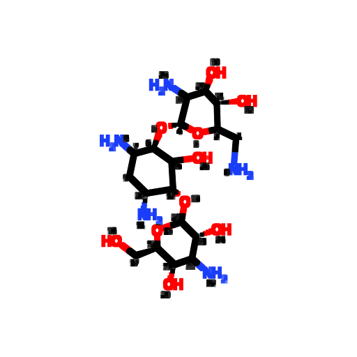 NCC1O[C@H](O[C@@H]2C(N)C[C@@H](N)[C@@H](OC3O[C@H](CO)[C@@H](O)C(N)[C@H]3O)C2O)C(N)[C@@H](O)[C@@H]1O